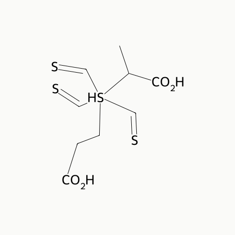 CC(C(=O)O)[SH](C=S)(C=S)(C=S)CCC(=O)O